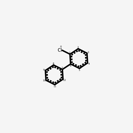 Clc1ccc[c]c1-c1[c]cccc1